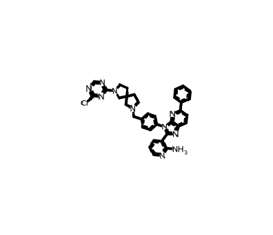 Nc1ncccc1-c1nc2ccc(-c3ccccc3)nc2n1-c1ccc(CN2CCC3(CCN(c4ncnc(Cl)n4)C3)C2)cc1